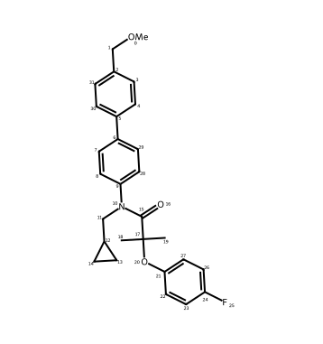 COCc1ccc(-c2ccc(N(CC3CC3)C(=O)C(C)(C)Oc3ccc(F)cc3)cc2)cc1